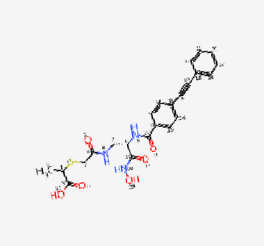 CC(SCC(=O)NC[C@H](NC(=O)c1ccc(C#Cc2ccccc2)cc1)C(=O)NO)C(=O)O